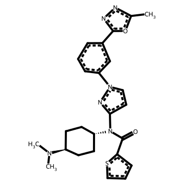 Cc1nnc(-c2cccc(-n3ccc(N(C(=O)c4cccs4)[C@H]4CC[C@H](N(C)C)CC4)n3)c2)o1